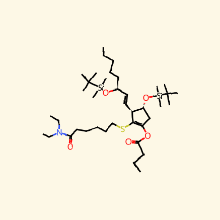 CCCCC[C@@H](C=C[C@@H]1C(SCCCCCC(=O)N(CC)CC)=C(OC(=O)CCC)C[C@H]1O[Si](C)(C)C(C)(C)C)O[Si](C)(C)C(C)(C)C